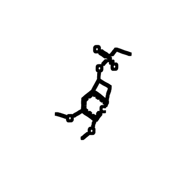 CCS(=O)(=O)OC1Cc2cc(OC)c(OC)cc21